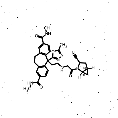 CNC(=O)c1ccc2c(c1)CCc1cc(C(=O)NC)ccc1C2(CCNCC(=O)N1C(C#N)C[C@@H]2C[C@@H]21)c1nnc(C)o1